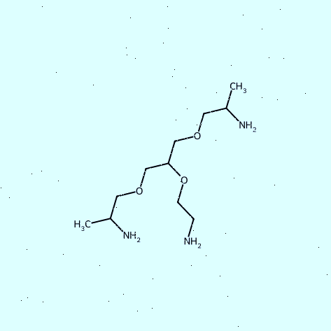 CC(N)COCC(COCC(C)N)OCCN